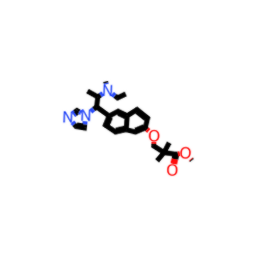 CCN(C)C(C)C(c1ccc2cc(OCC(C)(C)C(=O)OC)ccc2c1)n1ccnc1